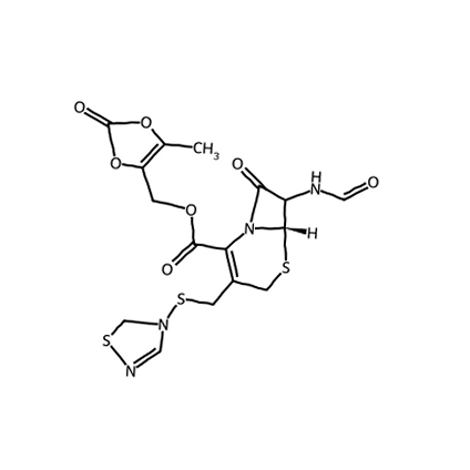 Cc1oc(=O)oc1COC(=O)C1=C(CSN2C=NSC2)CS[C@H]2C(NC=O)C(=O)N12